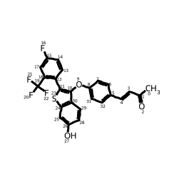 CC(=O)C=Cc1ccc(Oc2c(-c3ccc(F)cc3C(F)(F)F)sc3cc(O)ccc23)cc1